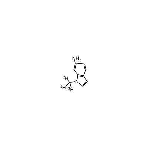 [2H]C([2H])([2H])n1ccc2ccc(N)cc21